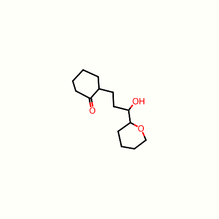 O=C1CCCCC1CCC(O)C1CCCCO1